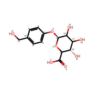 O=C(O)C1O[C@@H](Oc2ccc(CO)cc2)C(O)C(O)[C@@H]1O